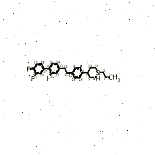 CCC[SiH]1CCC(c2ccc(CCc3ccc(-c4ccc(F)c(F)c4)c(F)c3)cc2)CC1